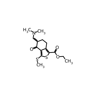 CCOC(=O)c1sc(SC)c2c1CCC(=CN(C)C)C2=O